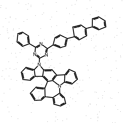 c1ccc(-c2ccc(-c3ccc(-c4nc(-c5ccccc5)nc(-n5c6ccccc6c6c7c8c(cc65)c5ccccc5n8-c5ccccc5-c5ccccc5-7)n4)cc3)cc2)cc1